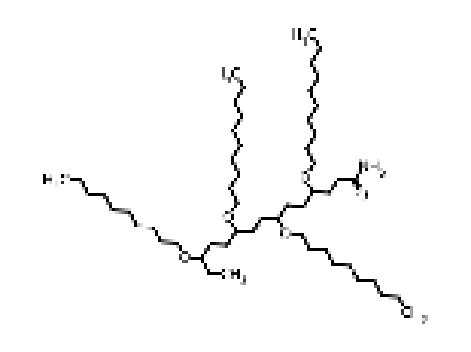 CCCCCCCCCCOC(CC)CCC(CCC(CCC(CCC(N)=O)OCCCCCCCCCC)OCCCCCCCCCC)OCCCCCCCCCC